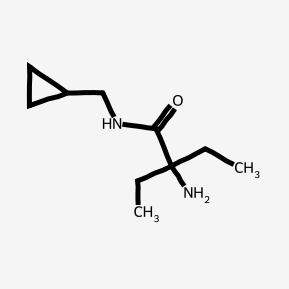 CCC(N)(CC)C(=O)NCC1CC1